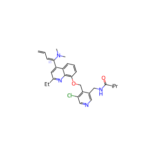 C=C/C=C(/c1cc(CC)nc2c(OCc3c(Cl)cncc3CNC(=O)C(C)C)cccc12)N(C)C